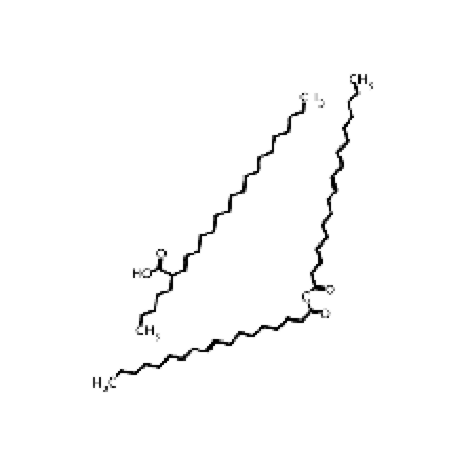 CCCCCCCCC=CCCCCCCCC(=O)OC(=O)CCCCCCCC=CCCCCCCCC.CCCCCCCCCCCCCCCCCCC(CCCCC)C(=O)O